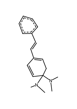 CN(C)C1(N(C)C)C=CC(C=Cc2ccccc2)=CC1